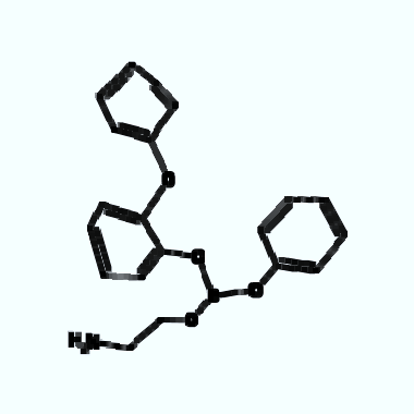 NCCOB(Oc1ccccc1)Oc1ccccc1Oc1ccccc1